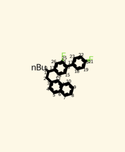 CCCCC(Cc1ccc2ccccc2c1)c1ccc(-c2ccc(F)cc2)c(F)c1